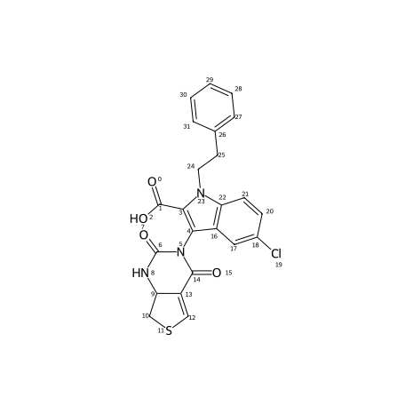 O=C(O)c1c(N2C(=O)NC3CSC=C3C2=O)c2cc(Cl)ccc2n1CCc1ccccc1